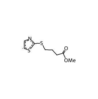 COC(=O)CCCSc1nc[c]s1